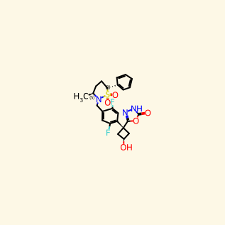 C[C@H]1CC[C@H](c2ccccc2)S(=O)(=O)N1Cc1cc(F)c([C@]2(c3n[nH]c(=O)o3)C[C@H](O)C2)cc1F